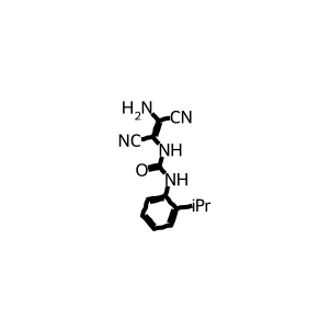 CC(C)c1ccccc1NC(=O)N/C(C#N)=C(/N)C#N